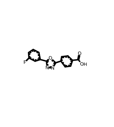 O=C(O)c1ccc(-c2nnc(-c3cccc(F)c3)o2)cc1